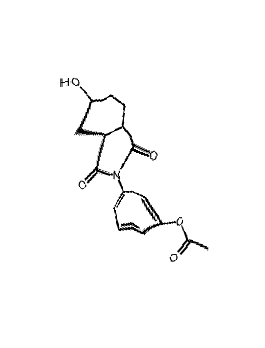 CC(=O)Oc1cccc(N2C(=O)C3CCC(O)CC3C2=O)c1